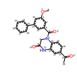 COc1cc(C(=O)N2CC(=O)Nc3cc(C(C)=O)ccc32)cc(-c2ccccc2)c1